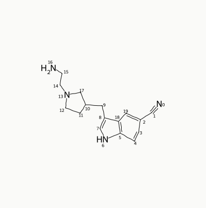 N#Cc1ccc2[nH]cc(CC3CCN(CCN)C3)c2c1